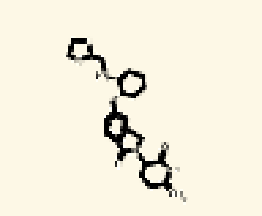 C=C1CCC(N2Cc3cc(C[C@H]4CCCC[C@@H]4NCC4OCCO4)ccc3C2=O)C(=O)N1